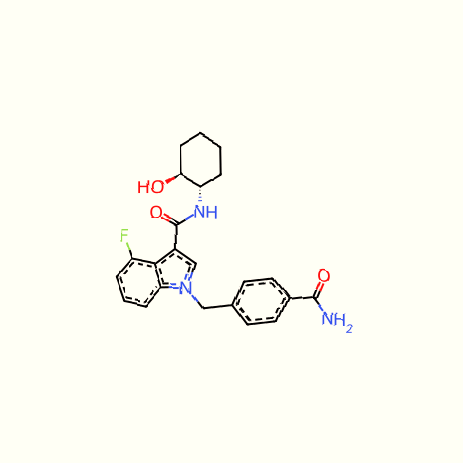 NC(=O)c1ccc(Cn2cc(C(=O)N[C@H]3CCCC[C@@H]3O)c3c(F)cccc32)cc1